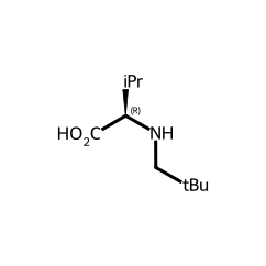 CC(C)[C@@H](NCC(C)(C)C)C(=O)O